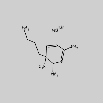 Cl.Cl.NCCCC1([N+](=O)[O-])C=CC(N)=NC1N